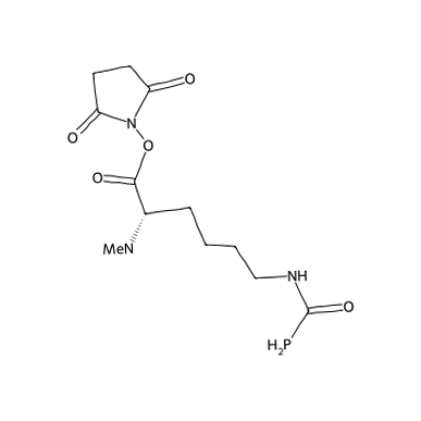 CN[C@@H](CCCCNC(=O)P)C(=O)ON1C(=O)CCC1=O